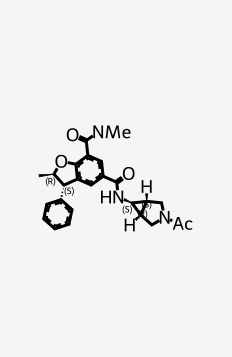 CNC(=O)c1cc(C(=O)N[C@H]2[C@@H]3CN(C(C)=O)C[C@@H]32)cc2c1O[C@H](C)[C@H]2c1ccccc1